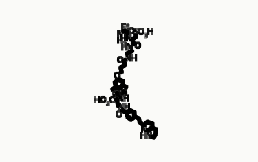 CCC(N)C(=O)NC(CS(=O)(=O)O)C(=O)NCCNC(=O)CCCOc1cc(C)c(S(=O)(=O)NC(CNC(=O)c2ccc(CCc3ccc4c(n3)NCCC4)cc2)C(=O)O)c(C)c1